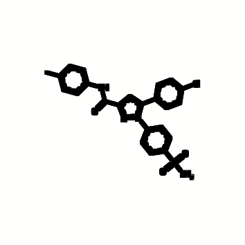 Cc1ccc(NC(=O)c2cc(-c3ccc(Cl)cc3)n(-c3ccc(S(N)(=O)=O)cc3)n2)cc1